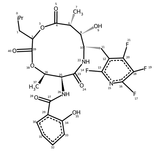 CC(C)CC1OC(=O)[C@H](C)[C@H](O)[C@H](Cc2c(F)nc(F)c(F)c2F)NC(=O)[C@@H](NC(=O)c2ccccc2O)[C@@H](C)OC1=O